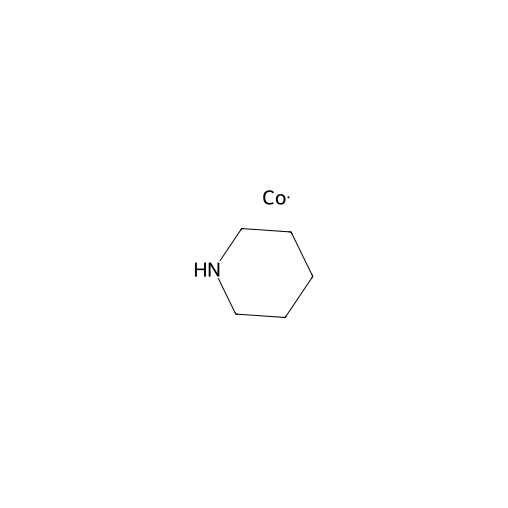 C1CCNCC1.[Co]